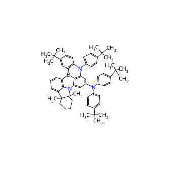 CC(C)(C)c1ccc(N(c2ccc(C(C)(C)C)cc2)c2cc3c4c(c2)N2c5c(cccc5C5(C)CCCCC25C)B4c2cc(C(C)(C)C)ccc2N3c2ccc(C(C)(C)C)cc2)cc1